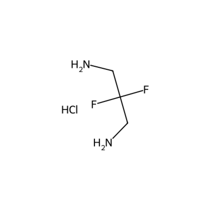 Cl.NCC(F)(F)CN